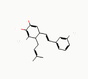 COC1=C(O)C(O)=CC(C=Cc2cccc(OC)c2)C1CC=C(C)C